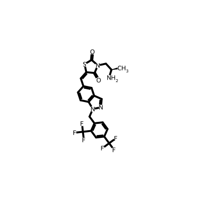 C[C@@H](N)CN1C(=O)SC(=Cc2ccc3c(cnn3Cc3ccc(C(F)(F)F)cc3C(F)(F)F)c2)C1=O